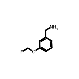 NCc1cccc(OCF)c1